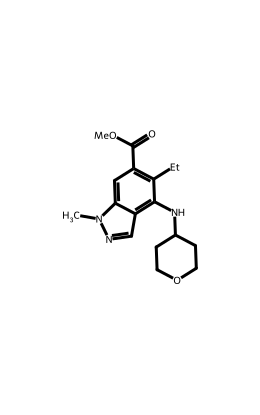 CCc1c(C(=O)OC)cc2c(cnn2C)c1NC1CCOCC1